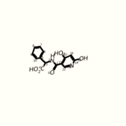 O=C(NC(C(=O)O)c1ccccc1)c1cnc(O)cc1O